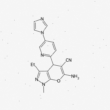 CCc1nn(C)c2c1C(c1ccc(-n3ccnc3)cn1)C(C#N)=C(N)O2